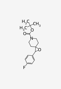 CC(C)(C)OC(=O)N1CCC2(CC1)OC2c1ccc(F)cc1